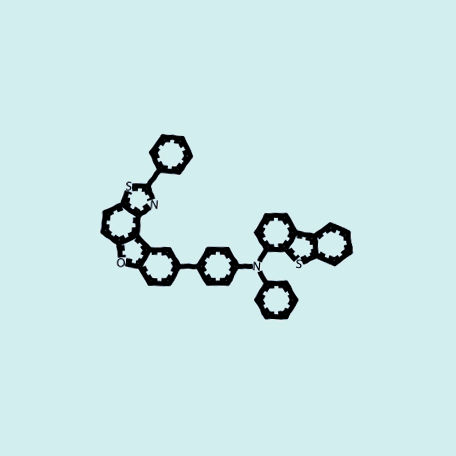 c1ccc(-c2nc3c(ccc4oc5ccc(-c6ccc(N(c7ccccc7)c7cccc8c7sc7ccccc78)cc6)cc5c43)s2)cc1